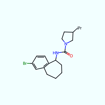 CC(C)C1CCN(C(=O)NC2CCCCc3cc(Br)ccc32)C1